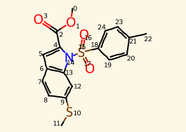 COC(=O)c1cc2ccc(SC)cc2n1S(=O)(=O)c1ccc(C)cc1